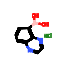 Cl.OB(O)c1cccc2nccnc12